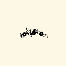 CCS(=O)(=O)c1ccc([C@@H](O)CNC(=O)c2ccc3c(COc4ccc(C(F)(F)F)cc4)nccc3c2)cc1